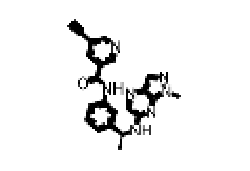 C#Cc1cncc(C(=O)Nc2cccc([C@H](C)Nc3cnc4cnn(C)c4n3)c2)c1